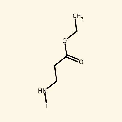 CCOC(=O)CCNI